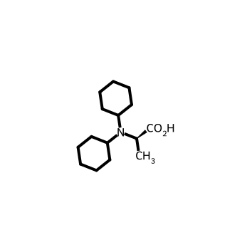 C[C@H](C(=O)O)N(C1CCCCC1)C1CCCCC1